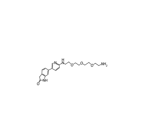 NCCOCCOCCOCCNc1ccc(-c2ccc3c(c2)NC(=O)C3)cn1